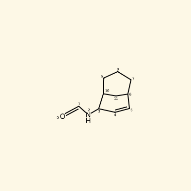 O=CNC1C=CC2CCCC1C2